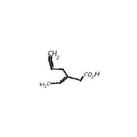 [CH2]C=C(CC=C)CC(=O)O